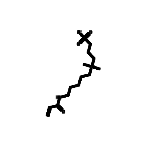 C=CC(=O)NCCCCC[N+](C)(C)CCCS(=O)(=O)[O-]